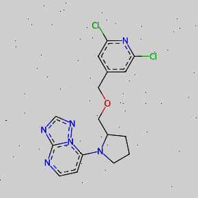 Clc1cc(COCC2CCCN2c2ccnc3ncnn23)cc(Cl)n1